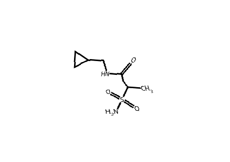 CC(C(=O)NCC1CC1)S(N)(=O)=O